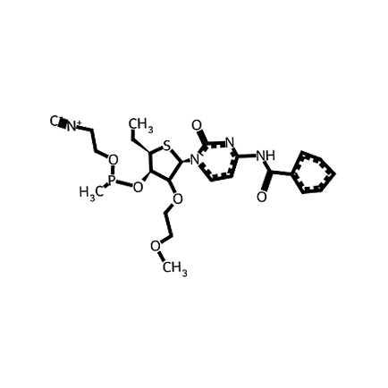 [C-]#[N+]CCOP(C)O[C@@H]1C(OCCOC)[C@H](n2ccc(NC(=O)c3ccccc3)nc2=O)S[C@@H]1CC